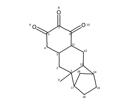 CC12CC3CC(=O)C(=O)C(=O)C3CC1C1CCC2C1